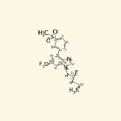 CS(=O)(=O)c1cccc(-c2cc(C(F)(F)F)cc3c2ncn3C/C(F)=C/CN)c1